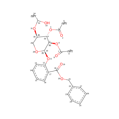 CCCC(=O)O[C@@H]1[C@@H](OC(=O)CCC)[C@@H](Oc2ccccc2C(=O)OCc2ccccc2)OC[C@H]1OC(O)CCC